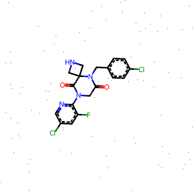 O=C1CN(c2ncc(Cl)cc2F)C(=O)C2(CNC2)N1Cc1ccc(Cl)cc1